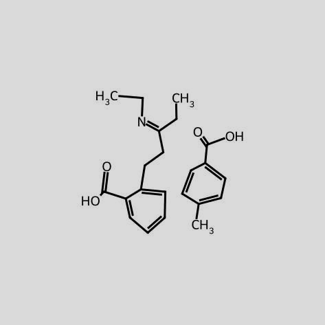 CCN=C(CC)CCc1ccccc1C(=O)O.Cc1ccc(C(=O)O)cc1